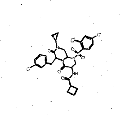 O=C(NC1CN(S(=O)(=O)c2ccc(Cl)cc2Cl)C2CN(C3CC3)C(=O)C(Cc3cccc(Cl)c3)N2C1=O)C1CCC1